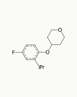 CC(C)c1cc(F)ccc1OC1CCOCC1